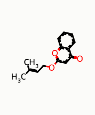 CC(C)=CCOc1cc(=O)c2ccccc2o1